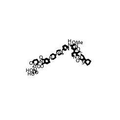 COc1ncc(-c2ccnc(N3CCc4c(sc5c4CCCC5)C3=O)c2[C@@H](C)O)cc1Nc1ccc(N2CCN(C3CCN(c4ccc5c(c4)C(=O)N([C@H]4CCC(=O)N(COP(=O)(O)O)C4=O)C5=O)CC3)C[C@@H]2C)cn1